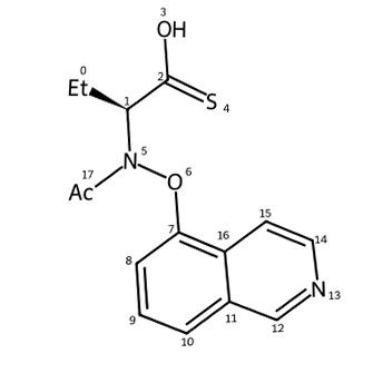 CC[C@@H](C(O)=S)N(Oc1cccc2cnccc12)C(C)=O